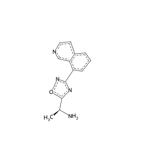 C[C@H](N)c1nc(-c2cccc3ccncc23)no1